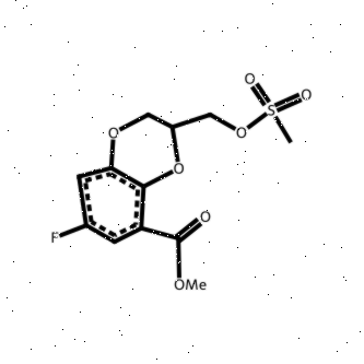 COC(=O)c1cc(F)cc2c1OC(COS(C)(=O)=O)CO2